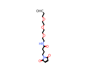 O=CCCOCCOCCOCCNC(=O)CCCN1C(=O)C=CC1=O